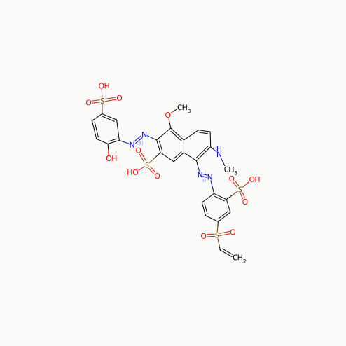 C=CS(=O)(=O)c1ccc(/N=N/c2c(NC)ccc3c(OC)c(/N=N/c4cc(S(=O)(=O)O)ccc4O)c(S(=O)(=O)O)cc23)c(S(=O)(=O)O)c1